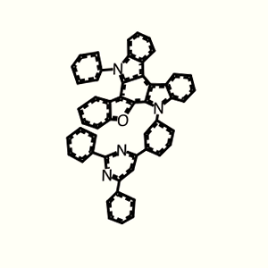 c1ccc(-c2cc(-c3cccc(-n4c5ccccc5c5c6c7ccccc7n(-c7ccccc7)c6c6c7ccccc7oc6c54)c3)nc(-c3ccccc3)n2)cc1